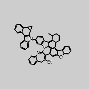 CCC1=C(c2ccc3c(c2)oc2ccccc23)C(n2c3cc(-n4c5c(c6ccccc64)-c4ccccc4C4CC54)ccc3c3c4c(ccc32)C=CCC4C)=Nc2ccccc2C1